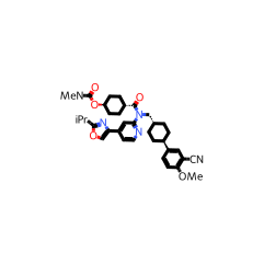 CNC(=O)O[C@H]1CC[C@H](C(=O)N(C[C@H]2CC[C@H](c3ccc(OC)c(C#N)c3)CC2)c2cc(-c3coc(C(C)C)n3)ccn2)CC1